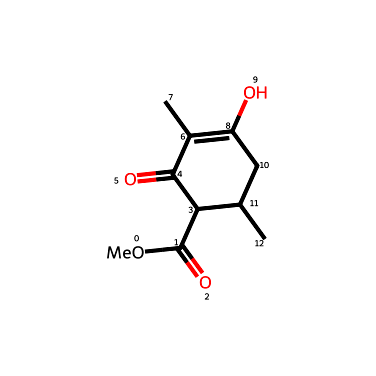 COC(=O)C1C(=O)C(C)=C(O)CC1C